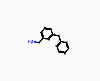 NCc1cc[c]c(Cc2ccccc2)c1